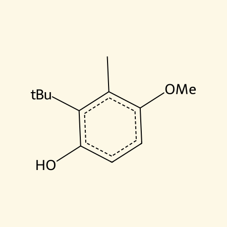 COc1ccc(O)c(C(C)(C)C)c1C